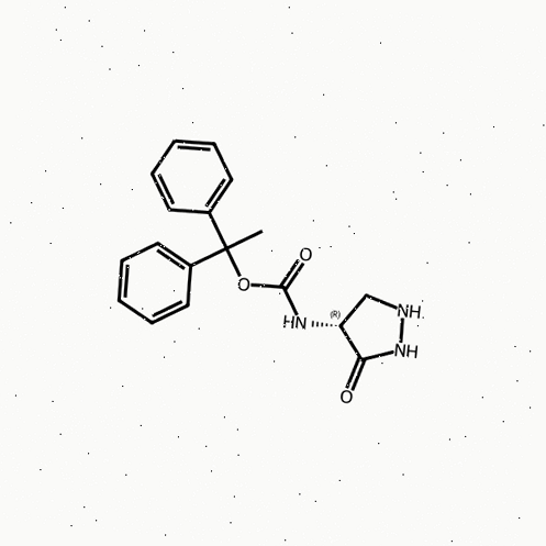 CC(OC(=O)N[C@@H]1CNNC1=O)(c1ccccc1)c1ccccc1